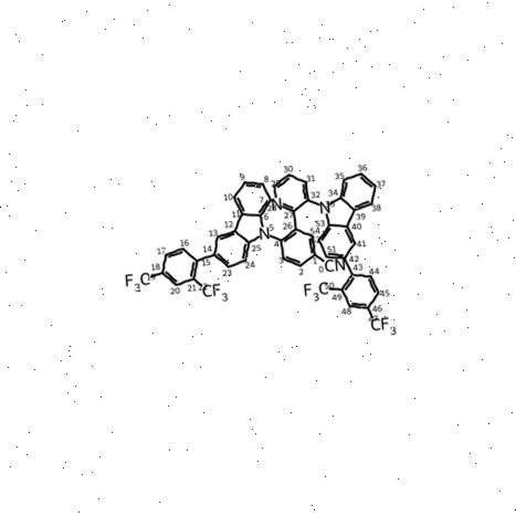 N#Cc1ccc(-n2c3ccccc3c3cc(-c4ccc(C(F)(F)F)cc4C(F)(F)F)ccc32)c(-c2ncccc2-n2c3ccccc3c3cc(-c4ccc(C(F)(F)F)cc4C(F)(F)F)ccc32)c1